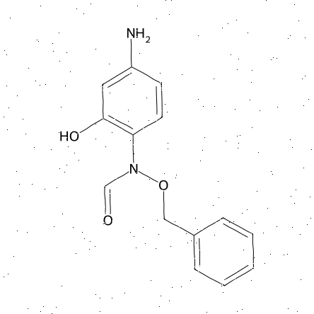 Nc1ccc(N(C=O)OCc2ccccc2)c(O)c1